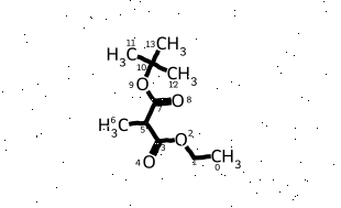 CCOC(=O)C(C)C(=O)OC(C)(C)C